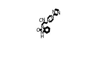 N#CC(CN1CCN(c2cnccn2)CC1)Cn1c(=O)[nH]c2ccccc21